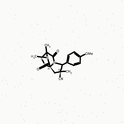 COc1ccc(C2N3C(=O)C4(C)SS[C@]3(C[C@]2(C)C#N)C(=O)N4C)cc1